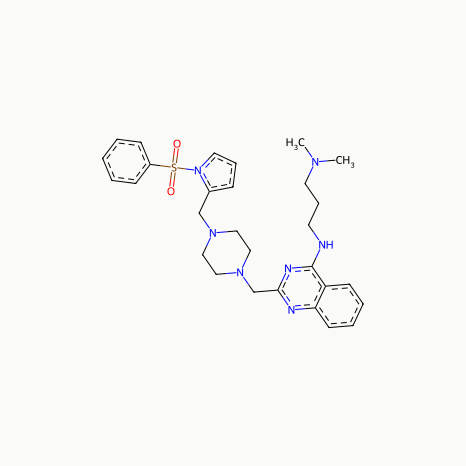 CN(C)CCCNc1nc(CN2CCN(Cc3cccn3S(=O)(=O)c3ccccc3)CC2)nc2ccccc12